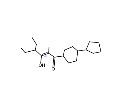 CCC(CC)/C(O)=C(\C)C(=O)C1CCC(C2CCCC2)CC1